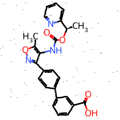 Cc1onc(-c2ccc(-c3cccc(C(=O)O)c3)cc2)c1NC(=O)O[C@H](C)c1ccccn1